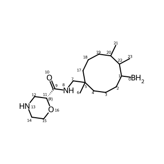 BC1CCCC(C)(CNC(=O)[C@H]2CNCCO2)CCCC(C)C1C